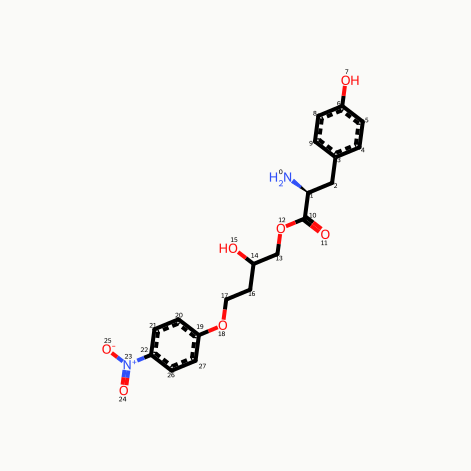 N[C@@H](Cc1ccc(O)cc1)C(=O)OCC(O)CCOc1ccc([N+](=O)[O-])cc1